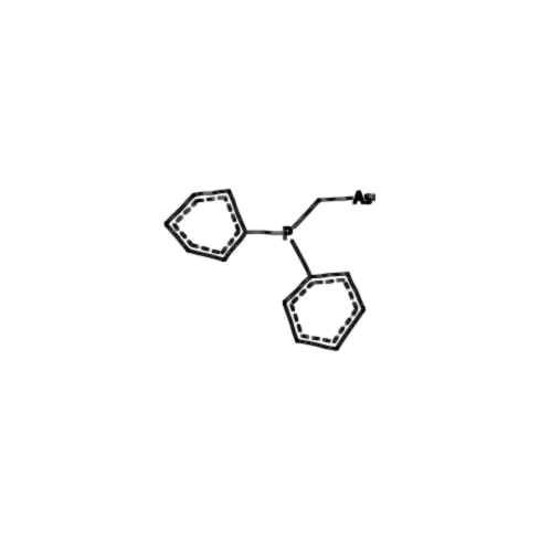 [As]CP(c1ccccc1)c1ccccc1